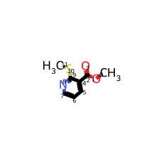 COC(=O)c1cccnc1SC